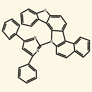 c1ccc(-c2cc(-c3ccccc3)nc(-n3c4ccc5ccccc5c4c4ccc5sc6ccccc6c5c43)n2)cc1